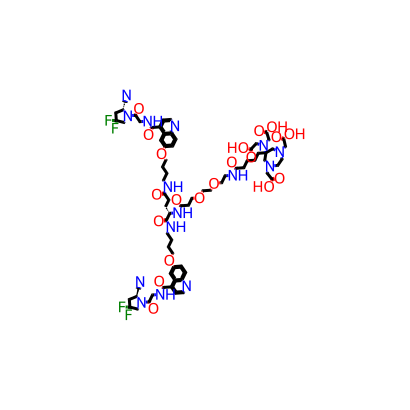 N#C[C@@H]1CC(F)(F)CN1C(=O)CNC(=O)c1ccnc2ccc(OCCCCNC(=O)[C@H](CCC(=O)NCCCCOc3ccc4nccc(C(=O)NCC(=O)N5CC(F)(F)C[C@@H]5C#N)c4c3)NC(=O)CCOCCOCCNC(=O)CCCCC3(N(CC(=O)O)CC(=O)O)CN(CC(=O)O)CCN(CC(=O)O)C3)cc12